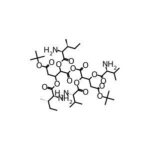 CC[C@H](C)[C@H](N)C(=O)OC(CC(=O)OC(C)(C)C)C(OC(=O)[C@@H](N)[C@@H](C)CC)C(=O)OC(=O)C(OC(=O)[C@@H](N)C(C)C)C(CC(=O)OC(C)(C)C)OC(=O)[C@@H](N)C(C)C